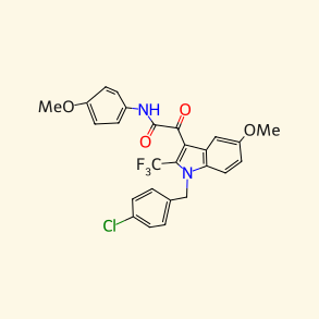 COc1ccc(NC(=O)C(=O)c2c(C(F)(F)F)n(Cc3ccc(Cl)cc3)c3ccc(OC)cc23)cc1